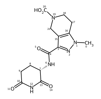 Cn1nc(C(=O)N[C@H]2CCC(=O)NC2=O)c2c1CCN(C(=O)O)C2